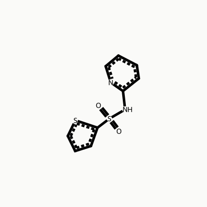 O=S(=O)(Nc1ccccn1)c1cccs1